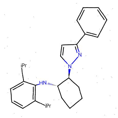 CC(C)c1cccc(C(C)C)c1N[C@H]1CCCC[C@@H]1n1ccc(-c2ccccc2)n1